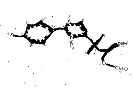 CC(C)(C(=N)OC=O)c1csc(-c2ccc(F)cc2)n1